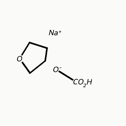 C1CCOC1.O=C([O-])O.[Na+]